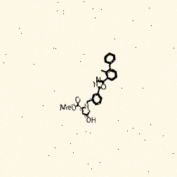 COC(=O)[C@@H]1C[C@@H](O)CN1Cc1cccc(-c2nnc(-c3cccc(-c4ccccc4)c3C)o2)c1